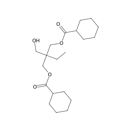 CCC(CO)(COC(=O)C1CCCCC1)COC(=O)C1CCCCC1